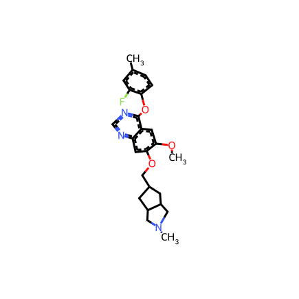 COc1cc2c(Oc3ccc(C)cc3F)ncnc2cc1OCC1CC2CN(C)CC2C1